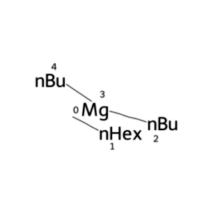 CCCCCCC.CCC[CH2][Mg][CH2]CCC